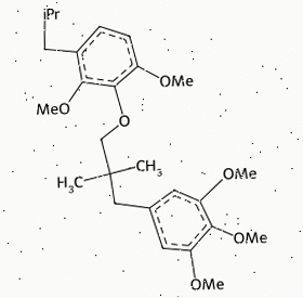 COc1cc(CC(C)(C)COc2c(OC)ccc(CC(C)C)c2OC)cc(OC)c1OC